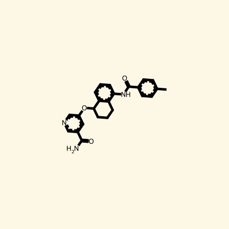 Cc1ccc(C(=O)Nc2cccc3c2CCCC3Oc2cncc(C(N)=O)c2)cc1